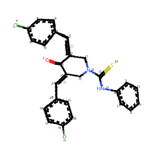 O=C1/C(=C\c2ccc(Cl)cc2)CN(C(=S)Nc2ccccc2)C/C1=C\c1ccc(Cl)cc1